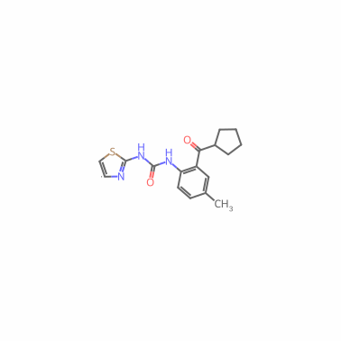 Cc1ccc(NC(=O)Nc2n[c]cs2)c(C(=O)C2CCCC2)c1